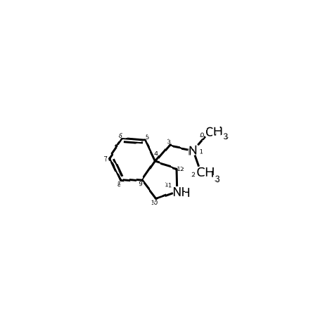 CN(C)CC12C=CC=CC1CNC2